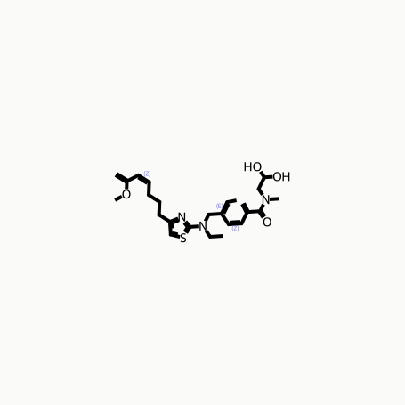 C=C(/C=C\CCCc1csc(N(CC)CC(/C=C\C(=C)C(=O)N(C)CC(O)O)=C/C)n1)OC